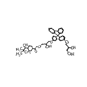 CC(C1CCC(C(=O)COCC(O)COc2ccc(C3(c4ccc(OCC(O)CO)cc4)c4ccccc4-c4ccccc43)cc2)CC1)C(C)(C)C